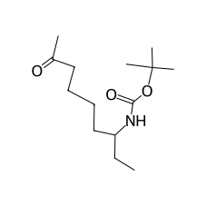 CCC(CCCCC(C)=O)NC(=O)OC(C)(C)C